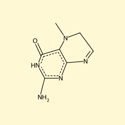 CN1CC=Nc2nc(N)[nH]c(=O)c21